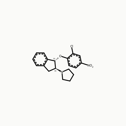 O=[N+]([O-])c1ccc(O[C@H]2c3ccccc3C[C@@H]2N2CCCC2)c(Cl)c1